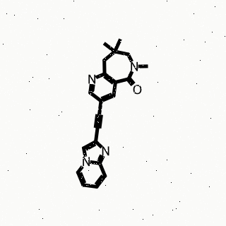 CN1CC(C)(C)Cc2ncc(C#Cc3cn4ccccc4n3)cc2C1=O